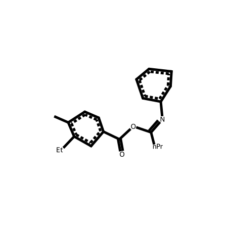 CCCC(=Nc1ccccc1)OC(=O)c1ccc(C)c(CC)c1